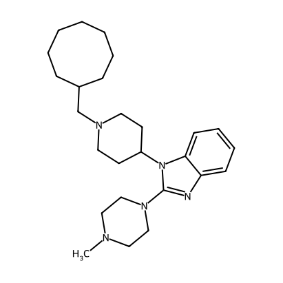 CN1CCN(c2nc3ccccc3n2C2CCN(CC3CCCCCCC3)CC2)CC1